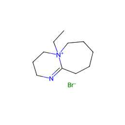 CC[N+]12CCCCCC1=NCCC2.[Br-]